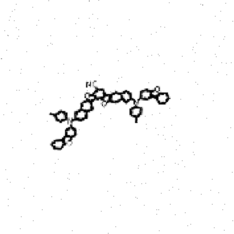 Cc1ccc(N(c2ccc3cc4c(cc3c2)oc2c4cc(C#N)c3oc4cc5cc(N(c6ccc(C)cc6)c6ccc7oc8ccccc8c7c6)ccc5cc4c32)c2ccc3oc4ccccc4c3c2)cc1